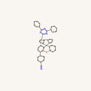 N#Cc1ccc(-c2cccc3c2Sc2ccccc2C32c3ccccc3-c3c(-c4nc(-c5ccccc5)nc(-c5ccccc5)n4)cccc32)cc1